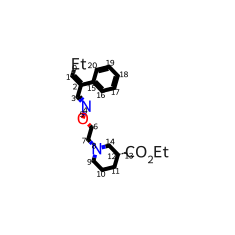 CCC=C(C=NOCCN1CCC[C@@H](C(=O)OCC)C1)c1ccccc1